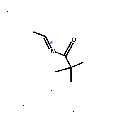 C/C=N/C(=O)C(C)(C)C